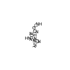 Cc1ccc(-c2cncc3[nH]c(-c4n[nH]c5cnc(-c6cncc(OC7CCNCC7)c6)cc45)nc23)s1